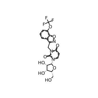 O=c1ccn([C@@H]2O[C@H](CO)[C@H](O)[C@@H]2O)c(=O)n1Cc1noc2c(OC(F)(F)F)cccc12